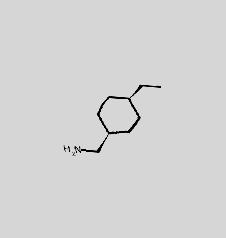 CC[C@H]1CC[C@@H](CN)CC1